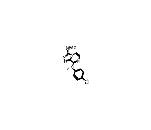 CNc1nnc2c(Nc3ccc(Cl)cc3)nccn12